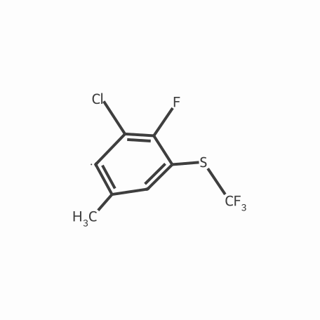 Cc1[c]c(Cl)c(F)c(SC(F)(F)F)c1